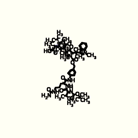 C/C(=C\[C@H](C(C)C)N(C)C(=O)[C@@H](NC(=O)[C@@H](N(C)C(=O)OCc1ccc(NC(=O)[C@H](CCCNC(N)=O)NC(=O)[C@@H](NC(=O)OC(C)(C)C)C(C)C)cc1)C(C)(C)c1cn(C)c2ccccc12)C(C)(C)C)C(=O)O